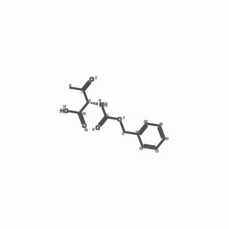 CC(=O)[C@H](NC(=O)OCc1ccccc1)C(=O)O